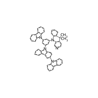 CC1(C)c2ccccc2N(c2cc(-n3c4ccccc4c4ccccc43)cc(-n3c4ccccc4c4cc(-n5c6ccccc6c6ccccc65)ccc43)c2)c2cnccc21